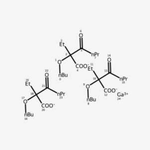 CCCCOC(CC)(C(=O)[O-])C(=O)CCC.CCCCOC(CC)(C(=O)[O-])C(=O)CCC.CCCCOC(CC)(C(=O)[O-])C(=O)CCC.[Ga+3]